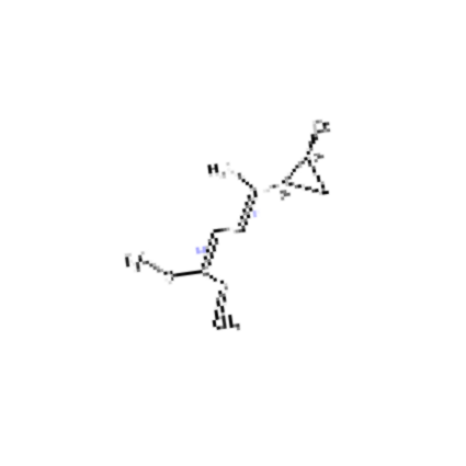 C=N/C(=C\C=C(/C)[C@H]1C[C@@H]1CC)OC(F)(F)F